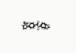 O=C(Nc1ccc2ocnc2c1)c1ccc(N2CCCS2(=O)=O)cc1